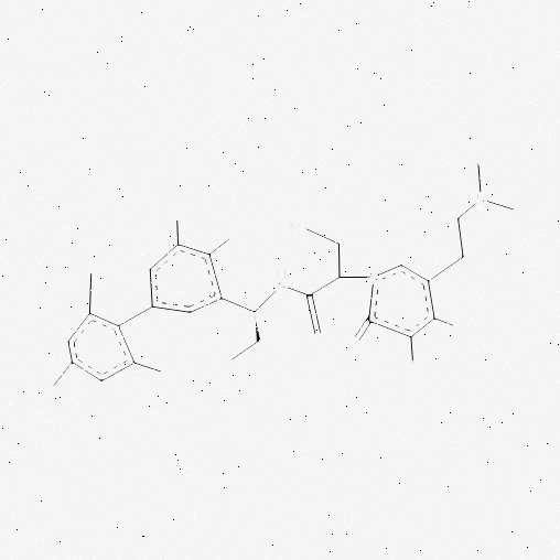 CCOC(=O)C[C@H](NC(=O)C(CC(C)C)n1cc(CCN(C)C)c(C(F)(F)F)c(F)c1=O)c1cc(-c2c(C)cc(F)cc2C)cc(C)c1F